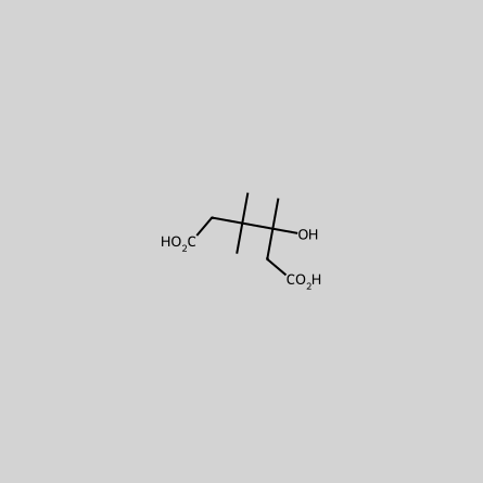 CC(C)(CC(=O)O)C(C)(O)CC(=O)O